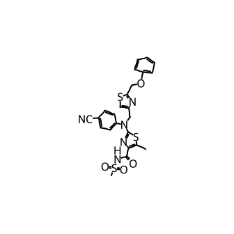 Cc1sc(N(Cc2csc(COc3ccccc3)n2)c2ccc(C#N)cc2)nc1C(=O)NS(C)(=O)=O